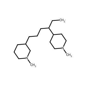 [CH2]CC(CCCC1CCCN(C)C1)C1CCN(C)CC1